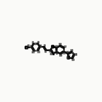 Clc1ccc(C=Cc2nc3cc(-c4ccco4)ccc3o2)cc1